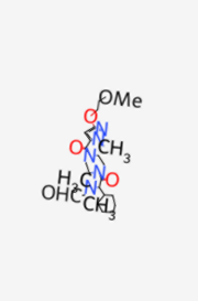 COCCOc1cc(C(=O)N2CCN(C(=O)C(C3CCCCC3)N(C)C(C)C=O)CC2)n(C)n1